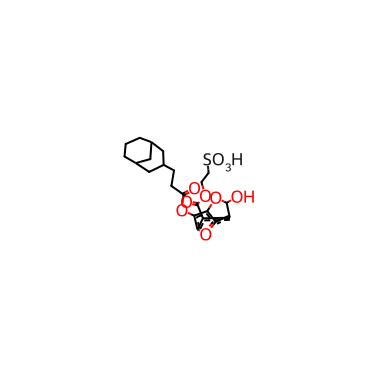 O=C(CCC1CC2CCCC(C2)C1)Oc1c2c3oc1c(C(=O)OCCS(=O)(=O)O)c3C(O)O2